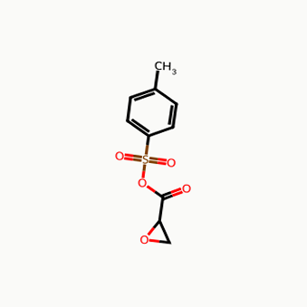 Cc1ccc(S(=O)(=O)OC(=O)C2CO2)cc1